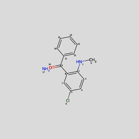 CNc1ccc(Cl)cc1C(=O)c1ccccc1.N